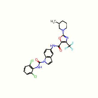 CC1CCCN(c2nc(C(F)(F)F)c(C(=O)Nc3ccc4c(ccn4C(=O)Nc4c(Cl)cccc4Cl)c3)o2)C1